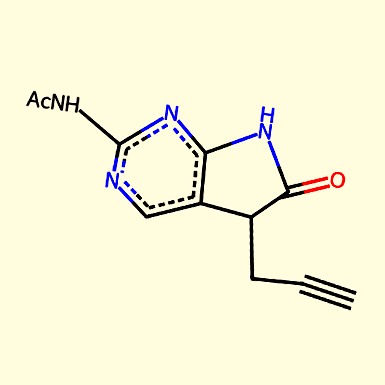 C#CCC1C(=O)Nc2nc(NC(C)=O)ncc21